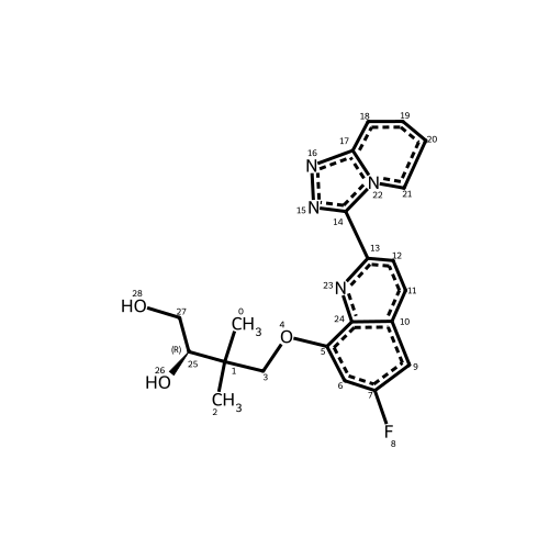 CC(C)(COc1cc(F)cc2ccc(-c3nnc4ccccn34)nc12)[C@@H](O)CO